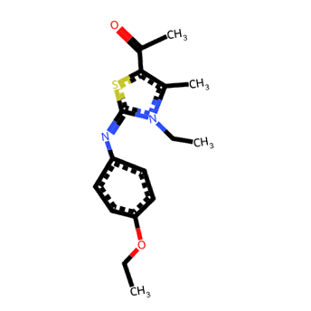 CCOc1ccc(/N=c2/sc(C(C)=O)c(C)n2CC)cc1